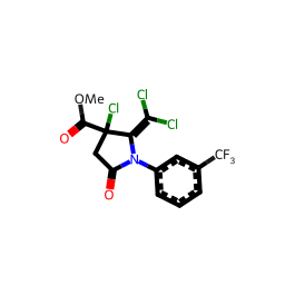 COC(=O)C1(Cl)CC(=O)N(c2cccc(C(F)(F)F)c2)C1=C(Cl)Cl